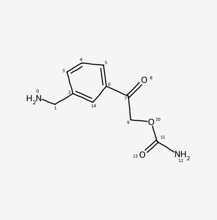 NCc1cccc(C(=O)COC(N)=O)c1